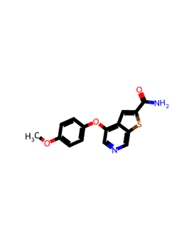 COc1ccc(Oc2cncc3sc(C(N)=O)cc23)cc1